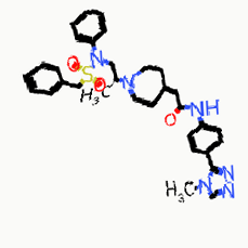 C[C@H](CN(c1ccccc1)S(=O)(=O)Cc1ccccc1)N1CCC(CC(=O)Nc2ccc(-c3nncn3C)cc2)CC1